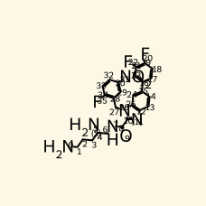 NCCC[C@H](N)CNC(=O)c1nc2ccc(-c3ccc(F)c(F)c3)cc2n1Cc1cc([N+](=O)[O-])ccc1F